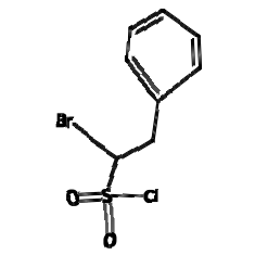 O=S(=O)(Cl)C(Br)Cc1ccccc1